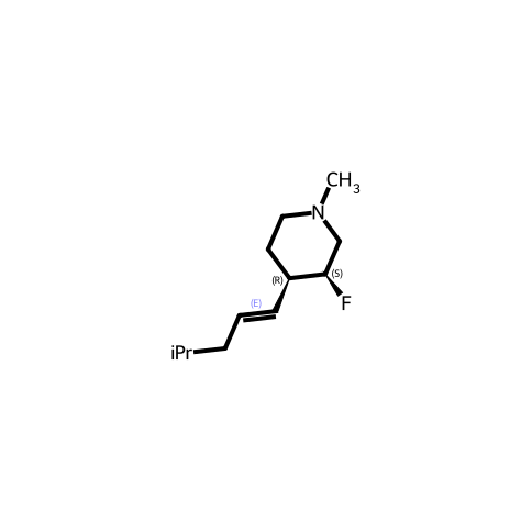 CC(C)C/C=C/[C@H]1CCN(C)C[C@H]1F